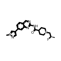 C[C@@H](F)CN1CCC(C(=O)Nc2ncc3ccc(-c4cnn(C)c4)cc3n2)CC1